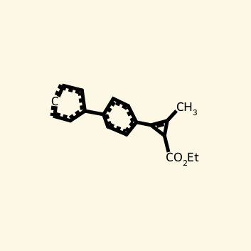 CCOC(=O)C1C(C)=C1c1ccc(-c2ccccc2)cc1